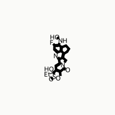 CC[C@]1(O)c2cc3n(c(=O)c2COS1=O)Cc1c-3nc2cc(F)c(NO)c3c2c1CCC3